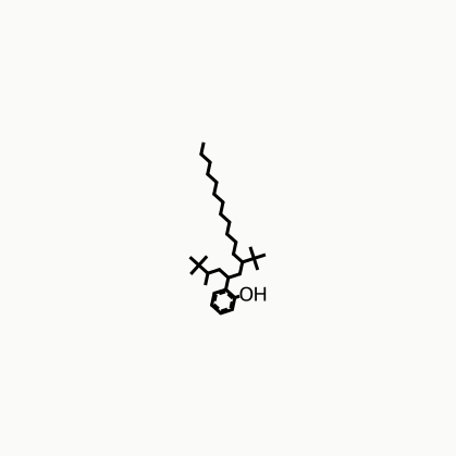 CCCCCCCCCCCCC(CC(CC(C)C(C)(C)C)c1ccccc1O)C(C)(C)C